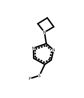 FSc1cnc(N2CCC2)nc1